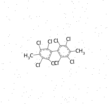 Cc1c(Cl)c(Cl)c(-c2c(Cl)c(Cl)c(C)c(Cl)c2Cl)c(Cl)c1Cl